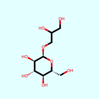 OCC(O)CO[C@H]1O[C@H](CO)[C@@H](O)[C@H](O)[C@H]1O